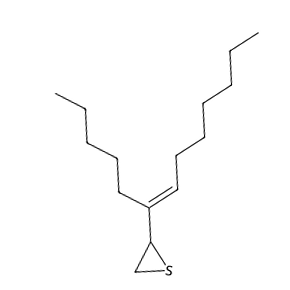 CCCCCC/C=C(\CCCCC)C1CS1